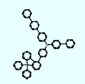 c1ccc(-c2ccc(-c3ccc(N(c4ccc(-c5ccccc5)cc4)c4ccc(-c5cccc6c5-c5ccccc5C6(c5ccccc5)c5ccccc5)cc4)cc3)cc2)cc1